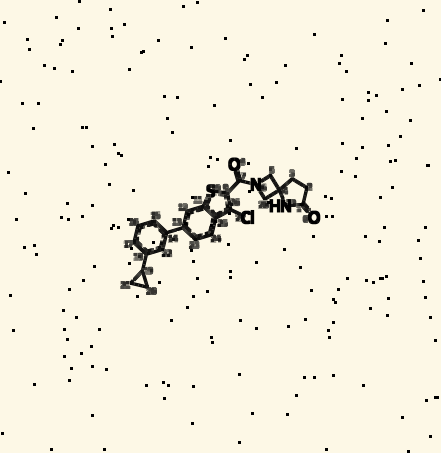 O=C1CCC2(CN(C(=O)c3sc4cc(-c5cccc(C6CC6)c5)ccc4c3Cl)C2)N1